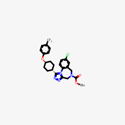 CC(C)(C)OC(=O)N1Cc2cc(Cl)ccc2-n2c(nnc2[C@H]2CC[C@H](Oc3ccc(C(F)(F)F)cc3)CC2)C1